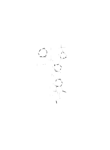 C=CCN1C(=O)c2ccc(Nc3ncc(-c4nc(C(C)(C)O)no4)c(N[C@H](CO)c4ccccc4)n3)nc2C1(C)C